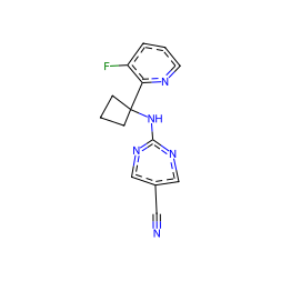 N#Cc1cnc(NC2(c3ncccc3F)CCC2)nc1